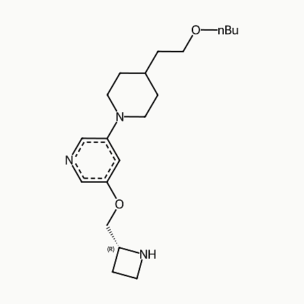 CCCCOCCC1CCN(c2cncc(OC[C@H]3CCN3)c2)CC1